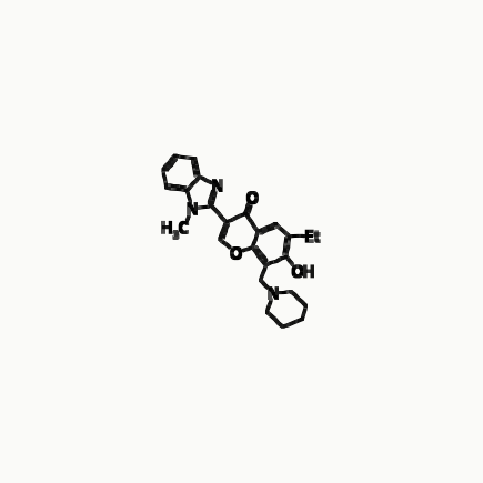 CCc1cc2c(=O)c(-c3nc4ccccc4n3C)coc2c(CN2CCCCC2)c1O